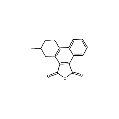 CC1CCc2c(c3c(c4ccccc24)C(=O)OC3=O)C1